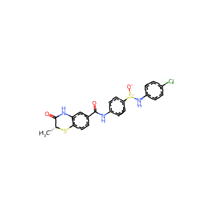 C[C@H]1Sc2ccc(C(=O)Nc3ccc([S+]([O-])Nc4ccc(Cl)cc4)cc3)cc2NC1=O